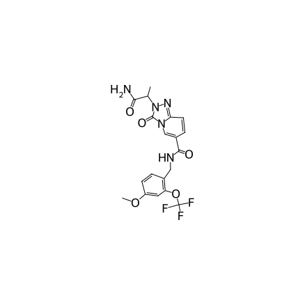 COc1ccc(CNC(=O)c2ccc3nn(C(C)C(N)=O)c(=O)n3c2)c(OC(F)(F)F)c1